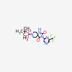 CC(C)(C)OC(=O)N1CCC2(CC1)NC(=O)N(c1cncc(C(F)(F)F)n1)C2=O